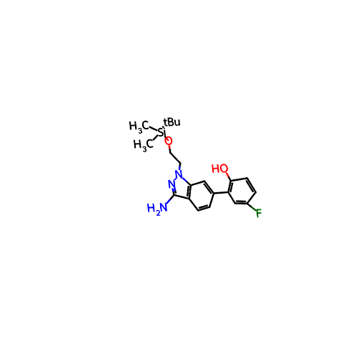 CC(C)(C)[Si](C)(C)OCCn1nc(N)c2ccc(-c3cc(F)ccc3O)cc21